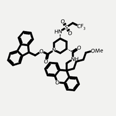 COCCCCC1(CNC(=O)[C@H]2C[C@@H](NS(=O)(=O)CC(F)(F)F)CN(C(=O)OCC3c4ccccc4-c4ccccc43)C2)c2ccccc2Oc2ccccc21